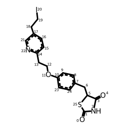 O=C1NC(=O)C(Cc2ccc(OCCc3ccc(CCI)cn3)cc2)S1